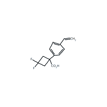 C=Cc1ccc(C2(C(=O)O)CC(F)(F)C2)cc1